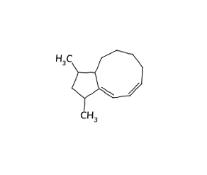 CC1CC(C)C2CCCCC=CC=C12